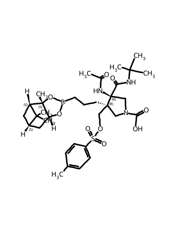 CC(=O)N[C@@]1(C(=O)NC(C)(C)C)CN(C(=O)O)C[C@@]1(CCCB1O[C@@H]2C[C@@H]3C[C@@H](C3(C)C)[C@]2(C)O1)COS(=O)(=O)c1ccc(C)cc1